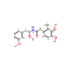 COc1cccc(CC(NC(=O)Cc2ccc(OC)c(OC)c2Br)OC)c1